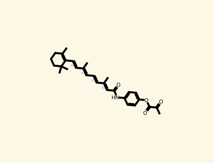 CC(=O)C(=O)Oc1ccc(NC(=O)/C=C(C)/C=C/C=C(C)/C=C/C2=C(C)CCCC2(C)C)cc1